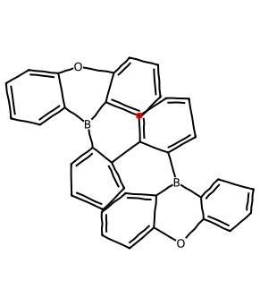 c1ccc2c(c1)Oc1ccccc1B2c1ccccc1-c1ccccc1B1c2ccccc2Oc2ccccc21